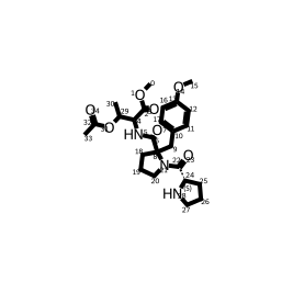 COC(=O)C(NC(=O)C1(Cc2ccc(OC)cc2)CCCN1C(=O)[C@@H]1CCCN1)C(C)OC(C)=O